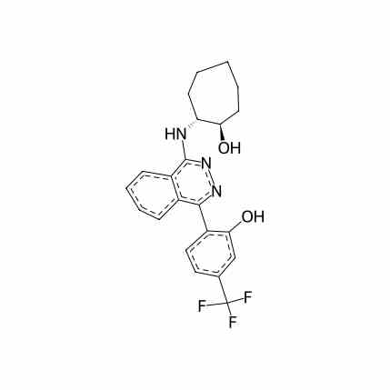 Oc1cc(C(F)(F)F)ccc1-c1nnc(N[C@@H]2CCCCC[C@H]2O)c2ccccc12